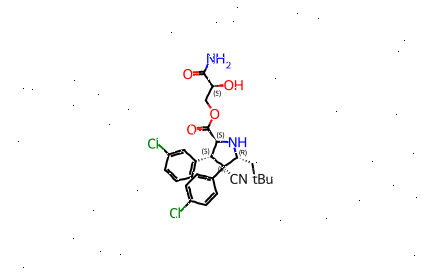 CC(C)(C)C[C@H]1N[C@H](C(=O)OC[C@H](O)C(N)=O)[C@@H](c2cccc(Cl)c2)[C@]1(C#N)c1ccc(Cl)cc1